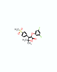 CC1(C)OC(=O)C(Oc2cc(F)cc(F)c2)=C1c1ccc(S(C)(=O)=O)cc1